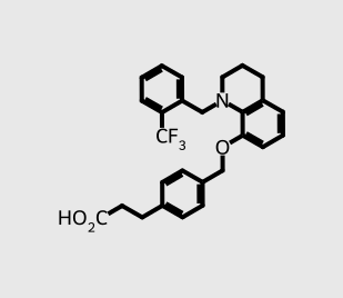 O=C(O)CCc1ccc(COc2cccc3c2N(Cc2ccccc2C(F)(F)F)CCC3)cc1